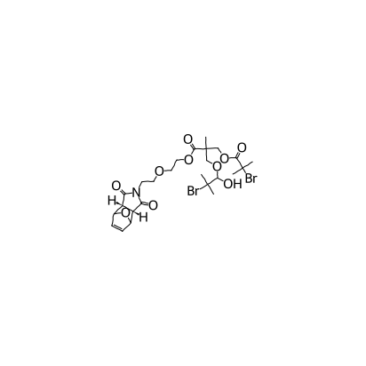 CC(C)(Br)C(=O)OCC(C)(COC(O)C(C)(C)Br)C(=O)OCCOCCN1C(=O)[C@@H]2C3C=CC(O3)[C@@H]2C1=O